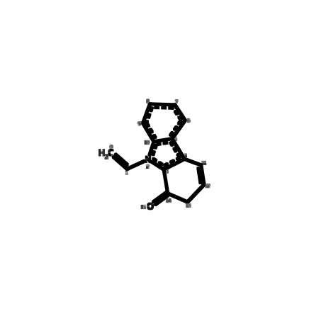 C=Cn1c2c(c3ccccc31)C=CCC2=O